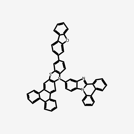 c1ccc2c(c1)oc1cc(-c3ccc4c(c3)Sc3cc5c6ccccc6c6ccccc6c5cc3N4c3ccc4c(c3)nc3c5ccccc5c5ccccc5n43)ccc12